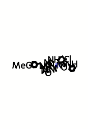 COc1ccc(CN2CN(C)C(=O)c3c(NC(C)/C=N/C4=C(C(=O)Nc5ccccc5)C(Cl)CC=C4)nc(N)nc32)cc1